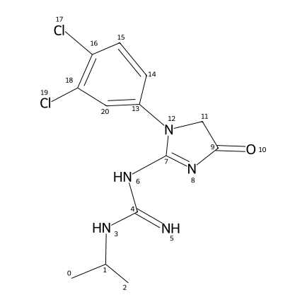 CC(C)NC(=N)NC1=NC(=O)CN1c1ccc(Cl)c(Cl)c1